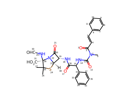 CN(C(=O)C=Cc1ccccc1)C(=O)NC(C(=O)N[C@H]1C(=O)N2[C@@H]1SC(C)(C)[C@]2(NC=O)C(=O)O)c1ccccc1